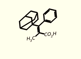 CC(C(=O)O)=C(c1ccccc1)C12CC3CC(CC(C3)C1)C2